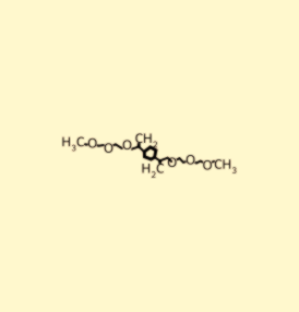 C=C(COCCOCCOCC)c1ccc(C(=C)COCCOCCOCC)cc1